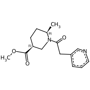 COC(=O)[C@H]1CC[C@@H](C)N(C(=O)Cc2cccnc2)C1